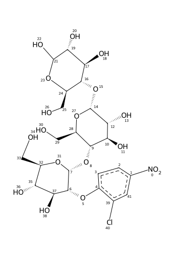 O=[N+]([O-])c1ccc(O[C@H]2[C@@H](O[C@H]3[C@H](O)[C@@H](O)[C@@H](O[C@H]4[C@H](O)[C@@H](O)C(O)O[C@@H]4CO)O[C@@H]3CO)O[C@H](CO)[C@@H](O)[C@@H]2O)c(Cl)c1